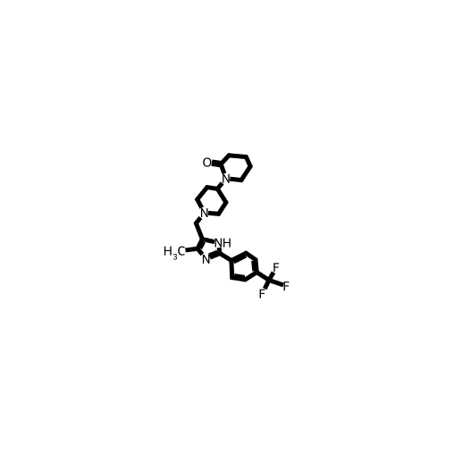 Cc1nc(-c2ccc(C(F)(F)F)cc2)[nH]c1CN1CCC(N2CCCCC2=O)CC1